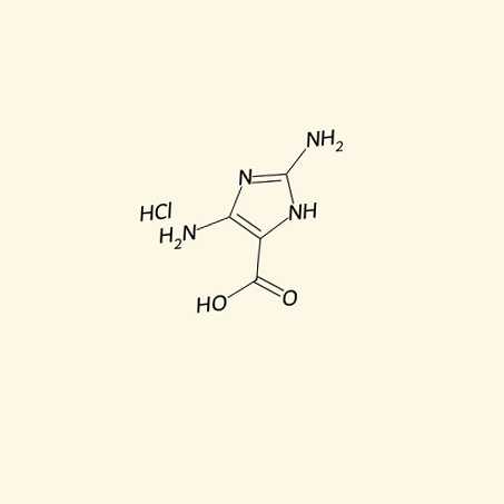 Cl.Nc1nc(N)c(C(=O)O)[nH]1